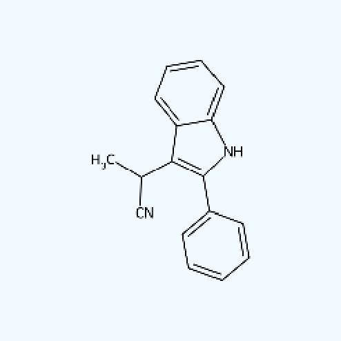 CC(C#N)c1c(-c2ccccc2)[nH]c2ccccc12